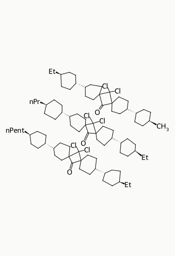 CCCCC[C@H]1CC[C@H](C2CCC3(CC2)C(=O)C2(CCC([C@H]4CC[C@H](CC)CC4)CC2)C3(Cl)Cl)CC1.CCC[C@H]1CC[C@H](C2CCC3(CC2)C(=O)C2(CCC([C@H]4CC[C@H](CC)CC4)CC2)C3(Cl)Cl)CC1.CC[C@H]1CC[C@H](C2CCC3(CC2)C(=O)C2(CCC([C@H]4CC[C@H](C)CC4)CC2)C3(Cl)Cl)CC1